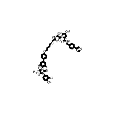 CC(C)(C)C(NC(=O)COCCCCOc1ccc(-c2ccc(N3C(=S)N(c4ccc(C#N)c(Cl)c4)C(=O)C3(C)C)c(F)c2)cc1)C(=O)N1C[C@H](O)C[C@H]1C(=O)NCc1ccc(-c2cncs2)cc1